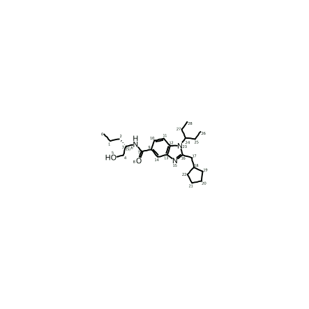 CCC[C@@H](CO)NC(=O)c1ccc2c(c1)nc(CC1CCCC1)n2C(CC)CC